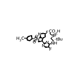 Cc1ccc(S(=O)(=O)n2cc(-c3ncc(F)c(N[C@H](C[S+]([O-])CC(=O)O)C(C)(C)C)n3)c3cc(F)cnc32)cc1